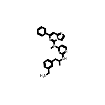 CC(Cc1cccc(CN)c1)Nc1nccc(N(C)c2nc(-c3ccccc3)cc3nccn23)n1